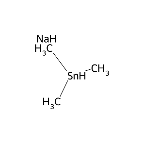 [CH3][SnH]([CH3])[CH3].[NaH]